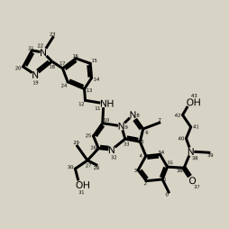 Cc1ccc(-c2c(C)nn3c(NCc4cccc(-c5nccn5C)c4)cc(C(C)(C)CO)nc23)cc1C(=O)N(C)CCCO